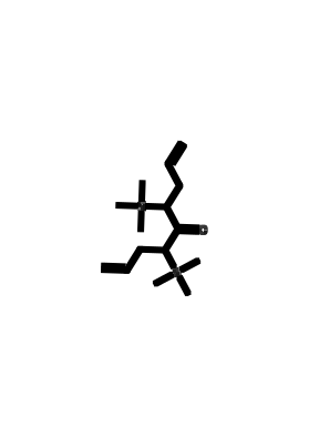 C=CCC(C(=O)C(CC=C)[Si](C)(C)C)[Si](C)(C)C